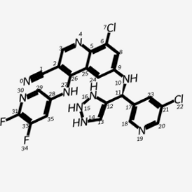 N#Cc1cnc2c(Cl)cc(N[C@H](C3=CNNN3)c3cncc(Cl)c3)cc2c1Nc1cnc(F)c(F)c1